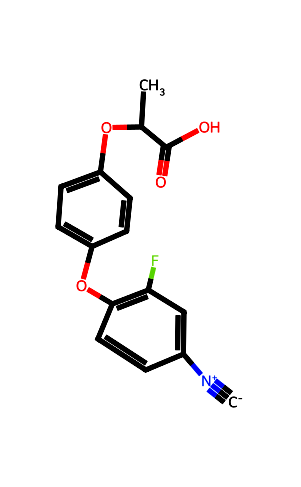 [C-]#[N+]c1ccc(Oc2ccc(OC(C)C(=O)O)cc2)c(F)c1